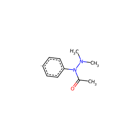 CC(=O)N(c1cc[c]cc1)N(C)C